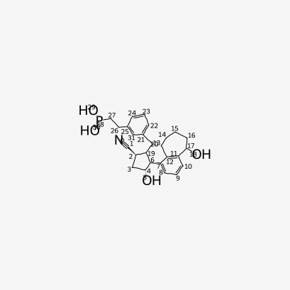 N#C[C@@H]1C[C@@H](O)C(c2cccc3c2CCCCC3O)C1Cc1cccc(CCP(O)O)c1